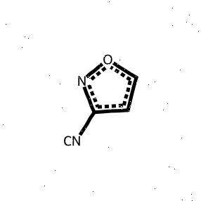 [C-]#[N+]c1ccon1